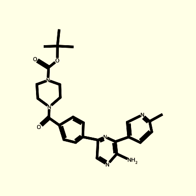 Cc1ccc(-c2nc(-c3ccc(C(=O)N4CCN(C(=O)OC(C)(C)C)CC4)cc3)cnc2N)cn1